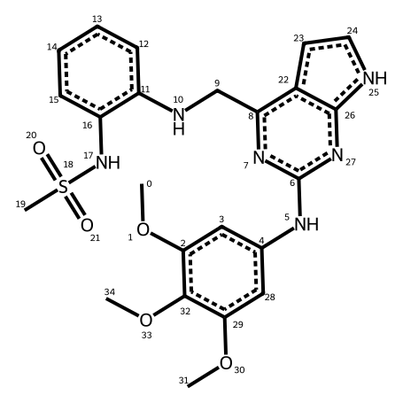 COc1cc(Nc2nc(CNc3ccccc3NS(C)(=O)=O)c3cc[nH]c3n2)cc(OC)c1OC